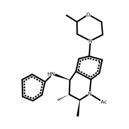 CC(=O)N1c2ccc(N3CCOC(C)C3)cc2[C@H](Nc2ccccc2)[C@@H](C)[C@@H]1C